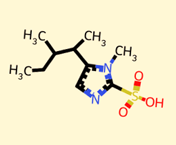 CCC(C)C(C)c1cnc(S(=O)(=O)O)n1C